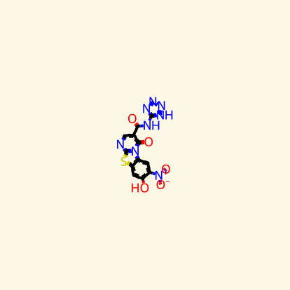 O=C(Nc1nnn[nH]1)c1cnc2sc3cc(O)c([N+](=O)[O-])cc3n2c1=O